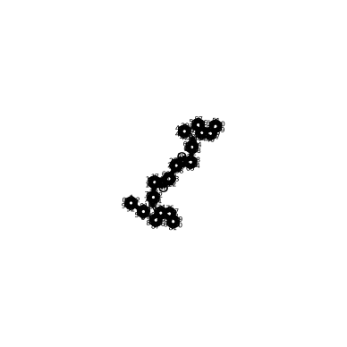 c1ccc(-c2cccc(N(c3ccc(-c4cccc5c4oc4ccc(-c6ccc7oc8c(-c9ccc(N(c%10ccccc%10)c%10cc%11ccc%12ccccc%12c%11c%11ccccc%10%11)cc9)cccc8c7c6)cc45)cc3)c3cc4ccc5ccccc5c4c4ccccc34)c2)cc1